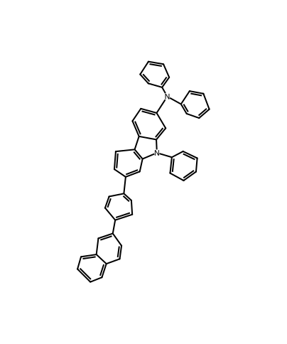 c1ccc(N(c2ccccc2)c2ccc3c4ccc(-c5ccc(-c6ccc7ccccc7c6)cc5)cc4n(-c4ccccc4)c3c2)cc1